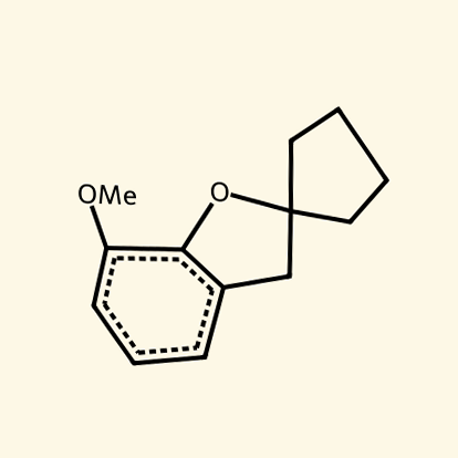 COc1cccc2c1OC1(CCCC1)C2